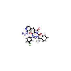 CC[C@@H](NC(=O)N1C(=O)C(Cc2ccnc(N)c2)[C@H]1C(=O)N(CC)c1cccc(Cl)c1)C1CCCCC1